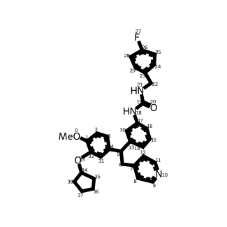 COc1ccc(C(Cc2ccncc2)c2cccc(NC(=O)NCc3ccc(F)cc3)c2)cc1OC1CCCC1